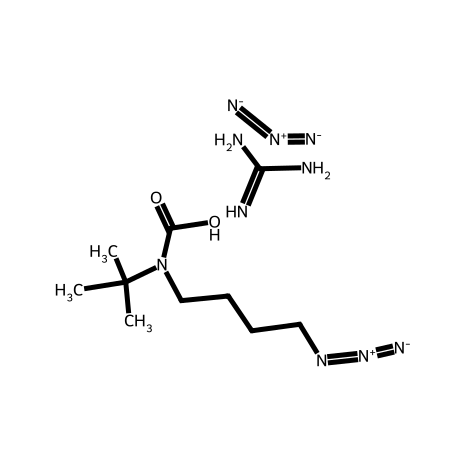 CC(C)(C)N(CCCCN=[N+]=[N-])C(=O)O.N=C(N)N.[N-]=[N+]=[N-]